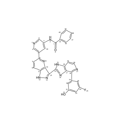 O=C(Nc1cncc(-c2ccc3[nH]nc(-c4nc5c(-c6cc(O)cc(F)c6)nccc5[nH]4)c3n2)c1)c1ccccc1